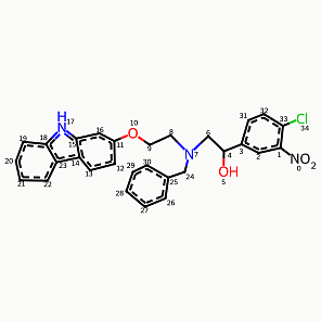 O=[N+]([O-])c1cc(C(O)CN(CCOc2ccc3c(c2)[nH]c2ccccc23)Cc2ccccc2)ccc1Cl